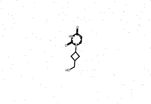 O=c1ccn(C2CC(CO)C2)c(=O)[nH]1